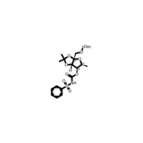 CCCCCCCCCCOC[C@@]12O[C@@H](C)[C@@H](OC(=O)NS(=O)(=O)c3ccccc3)[C@@H]1OC(C)(C)O2